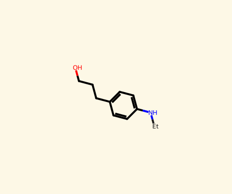 CCNc1ccc(CCCO)cc1